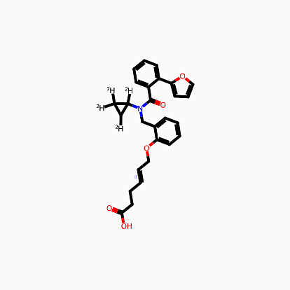 [2H]C1C([2H])([2H])C1([2H])N(Cc1ccccc1OC/C=C/CCC(=O)O)C(=O)c1ccccc1-c1ccco1